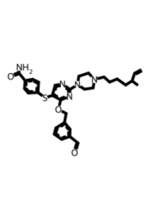 C=CC(C)CCCCN1CCN(c2ncc(Sc3ccc(C(N)=O)cc3)c(OCc3cccc(C=O)c3)n2)CC1